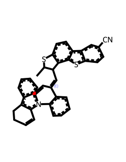 C=C/C(=C\C1c2c(ccc3c2sc2ccc(C#N)cc23)SC1C)c1ccccc1-n1c2c(c3ccccc31)CCC=C2